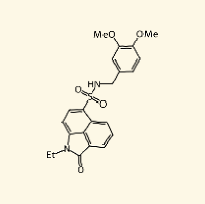 CCN1C(=O)c2cccc3c(S(=O)(=O)NCc4ccc(OC)c(OC)c4)ccc1c23